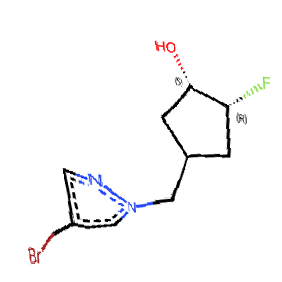 O[C@H]1CC(Cn2cc(Br)cn2)C[C@H]1F